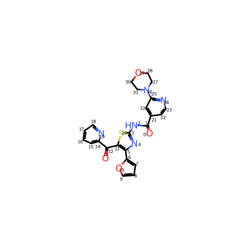 O=C(Nc1nc(-c2ccco2)c(C(=O)c2ccccn2)s1)c1ccnc(N2CCOCC2)c1